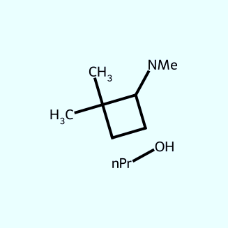 CCCO.CNC1CCC1(C)C